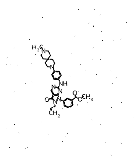 C=CCn1c(=O)c2cnc(Nc3ccc(N4CCC5(CCN(C)CC5)CC4)cc3)nc2n1-c1cccc(C(=O)OC)c1